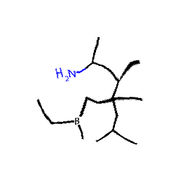 CCB(C)CC(C)(C(C)C)[C@H](C)C(C)N